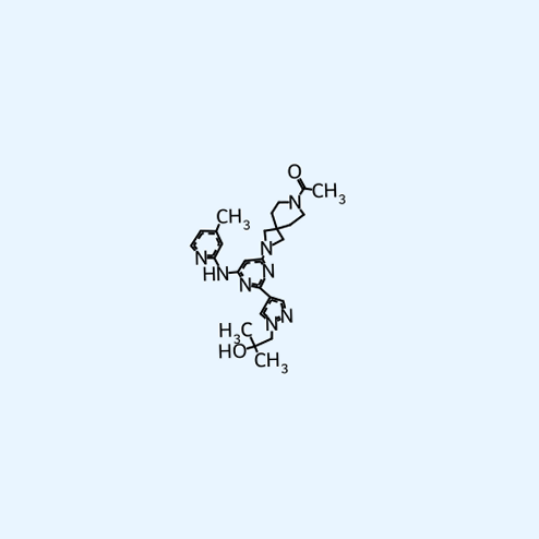 CC(=O)N1CCC2(CC1)CN(c1cc(Nc3cc(C)ccn3)nc(-c3cnn(CC(C)(C)O)c3)n1)C2